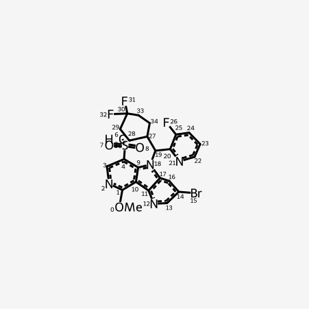 COc1ncc(S(C)(=O)=O)c2c1c1ncc(Br)cc1n2C(c1ncccc1F)C1CCC(F)(F)CC1